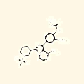 COc1cc(-c2nc(C3CCCN(S(C)(=O)=O)C3)n3ccnc(N)c23)ccc1NC(=O)OC(C)(C)C